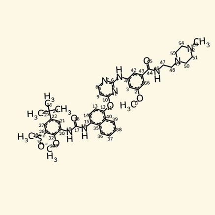 COc1cc(Nc2nccc(Oc3ccc(NC(=O)Nc4cc(C(C)(C)C)cc([S+](C)[O-])c4OC)c4ccccc34)n2)cc(C(=O)NCCN2CCN(C)CC2)c1